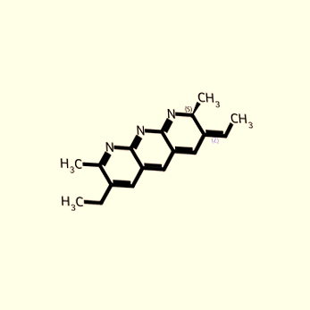 C/C=C1/C=c2cc3cc(CC)c(C)nc3nc2=N[C@H]1C